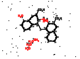 O.O.O.O.O.O=C(O)c1cc2ccccc2c(Cc2c(O)c(C(=O)O)cc3ccccc23)c1O